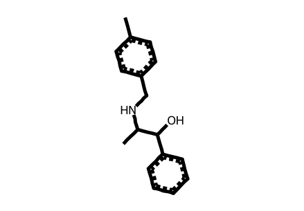 Cc1ccc(CNC(C)C(O)c2ccccc2)cc1